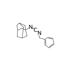 C(=NCc1ccccc1)=NC12CC3CC(CC(C3)C1)C2